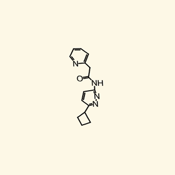 O=C(Cc1ccccn1)Nc1ccc(C2CCC2)nn1